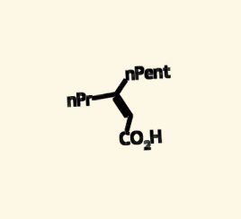 CCCCCC(=CC(=O)O)CCC